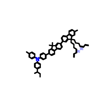 C=C/C=C\CCCC1(CCC/C=C\C=C)c2cc(C)ccc2-c2ccc(-c3ccc4c(c3)C(C)(C)c3cc(-c5ccc(N(c6ccc(C)cc6)c6ccc(C(C)CC)cc6)cc5)ccc3-4)cc21